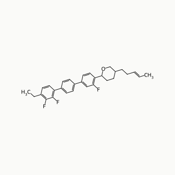 C/C=C/CCC1CCC(c2ccc(-c3ccc(-c4ccc(CC)c(F)c4F)cc3)cc2F)OC1